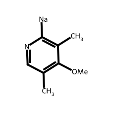 COc1c(C)cn[c]([Na])c1C